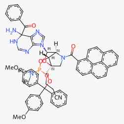 COc1ccc(C(OC[C@]23CN(C(=O)c4ccc5ccc6cccc7ccc4c5c67)[C@H]([C@H](n4cnc5c4N=CNC5(N)C(=O)c4ccccc4)O2)[C@H]3OP(OCCC#N)N(C(C)C)C(C)C)(c2ccccc2)c2ccc(OC)cc2)cc1